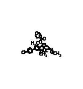 CO/N=C(\C)CC1CC(OC(=O)N2CCOCC2)=C(c2c(C)cc(-c3ccc(Cl)cc3)cc2OC)C1=O